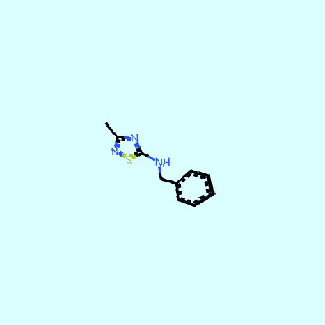 Cc1nsc(NCc2ccccc2)n1